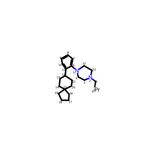 CC(C)CN1CCN(c2ccccc2C2CCC3(CCCC3)CC2)CC1